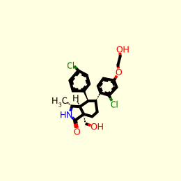 C[C@H]1NC(=O)[C@]2(CO)CC[C@@H](c3ccc(OCCO)cc3Cl)[C@H](c3ccc(Cl)cc3)[C@H]12